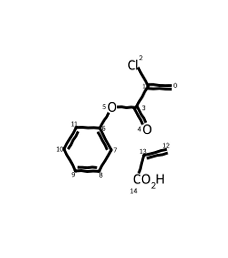 C=C(Cl)C(=O)Oc1ccccc1.C=CC(=O)O